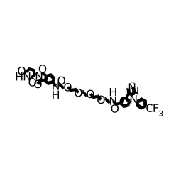 Cn1cc2c3cc(C(=O)NCCOCCOCCOCCOCC(=O)Nc4ccc5c(c4)C(=O)N(C4CCC(=O)NC4=O)C5=O)ccc3n(-c3ccc(C(F)(F)F)cc3)c2n1